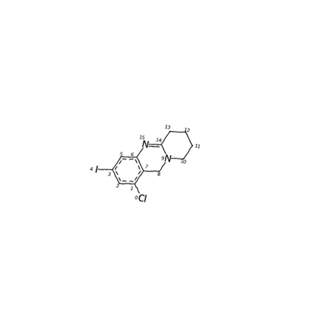 Clc1cc(I)cc2c1CN1CCCCC1=N2